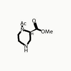 COC(=O)[C@H]1CNCCN1C(C)=O